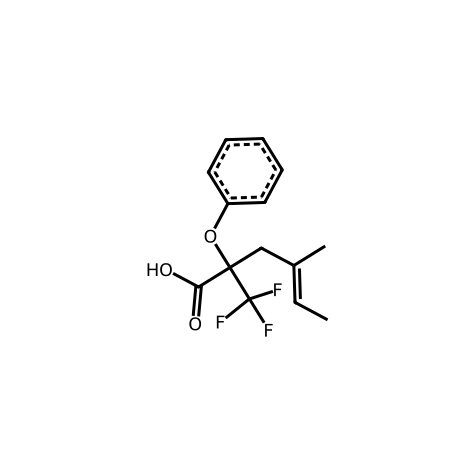 CC=C(C)CC(Oc1ccccc1)(C(=O)O)C(F)(F)F